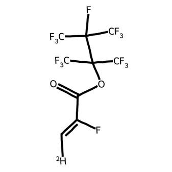 [2H]/C=C(\F)C(=O)OC(C(F)(F)F)(C(F)(F)F)C(F)(C(F)(F)F)C(F)(F)F